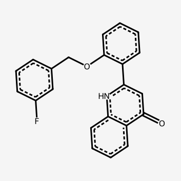 O=c1cc(-c2ccccc2OCc2cccc(F)c2)[nH]c2ccccc12